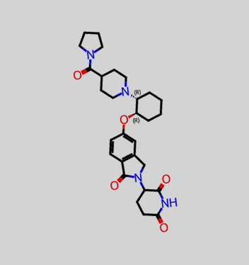 O=C1CCC(N2Cc3cc(O[C@@H]4CCCC[C@H]4N4CCC(C(=O)N5CCCC5)CC4)ccc3C2=O)C(=O)N1